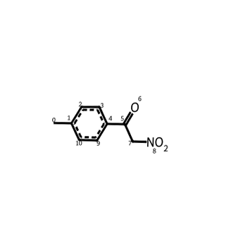 Cc1ccc(C(=O)C[N+](=O)[O-])cc1